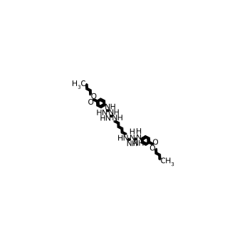 CCCCCOC(=O)c1ccc(NC(=N)NC(=N)NCCCCCCNC(=N)NC(=N)Nc2ccc(C(=O)OCCCCC)cc2)cc1